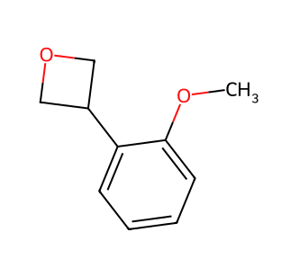 COc1ccccc1C1COC1